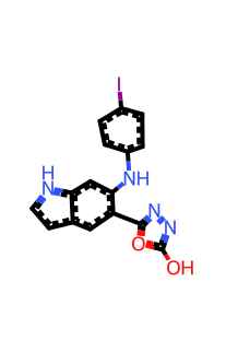 Oc1nnc(-c2cc3cc[nH]c3cc2Nc2ccc(I)cc2)o1